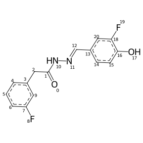 O=C(Cc1cccc(F)c1)N/N=C/c1ccc(O)c(F)c1